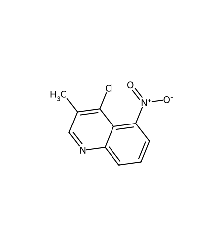 Cc1cnc2cccc([N+](=O)[O-])c2c1Cl